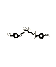 CCOC(=O)N(CCCCNC(=O)c1ccc(N)cc1)CCOc1ccc(CN)cc1